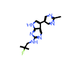 Cc1ncc(-c2c[nH]c3nc(NCC(C)(C)F)ncc23)cn1